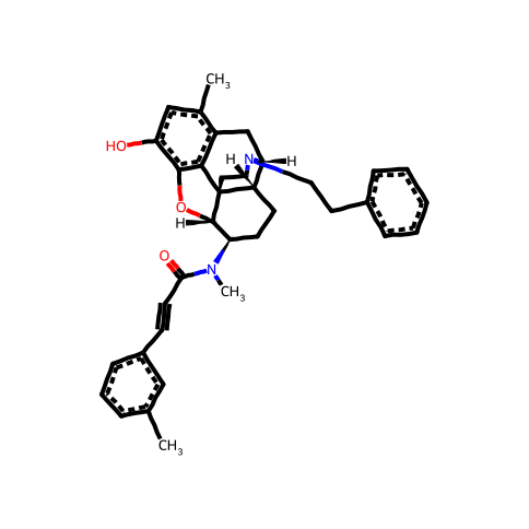 Cc1cccc(C#CC(=O)N(C)[C@@H]2CC[C@H]3[C@H]4Cc5c(C)cc(O)c6c5[C@@]3(CCN4CCc3ccccc3)[C@H]2O6)c1